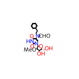 CO[C@@H]1[C@@H](O)[C@@H](CO)O[C@H]1n1cc(N(C=O)CCc2ccccc2)c(=O)[nH]c1=O